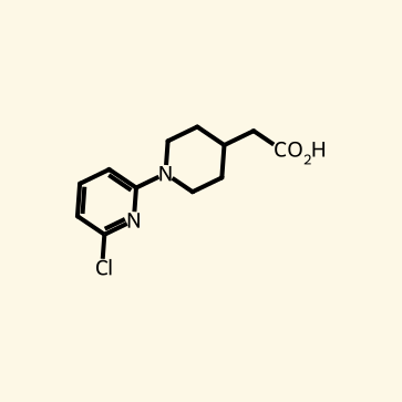 O=C(O)CC1CCN(c2cccc(Cl)n2)CC1